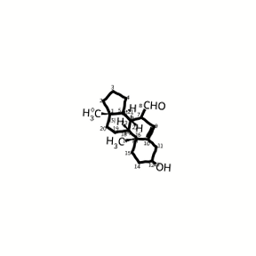 C[C@@]12CCC[C@H]1[C@@H]1C(C=O)C=C3CC(O)CC[C@]3(C)[C@@H]1CC2